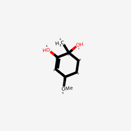 COC1C=C(O)C(C)(O)CC1